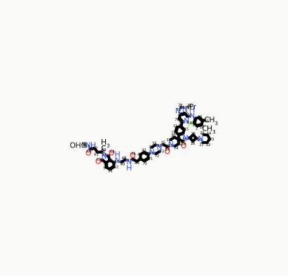 Cc1cc(F)c(Nc2nc(-c3ccc4c(c3)N(C3CC(N5CCCCC5)C3)C(=O)C43CCN(C(=O)CN4CCN(C5=CCC(CC(=O)NCCNC6C=CC=C7C(=O)N(C(C)CCC(=O)NC=O)C(=O)C76)C=C5)CC4)CC3)cc3ncn(C(C)C)c23)cc1C